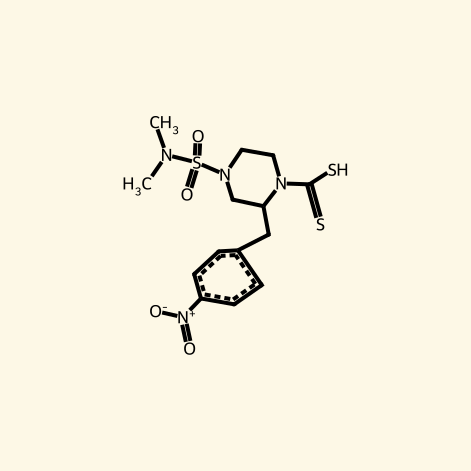 CN(C)S(=O)(=O)N1CCN(C(=S)S)C(Cc2ccc([N+](=O)[O-])cc2)C1